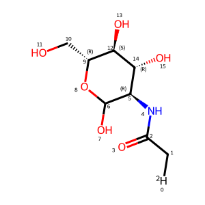 [2H]CC(=O)N[C@H]1C(O)O[C@H](CO)[C@@H](O)[C@@H]1O